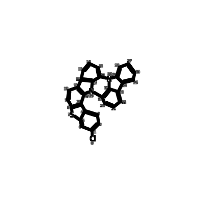 Clc1ccc2c(c1)sc1ccc3c4cccc5c4n(c4cccc6c7ccccc7n5c64)c3c12